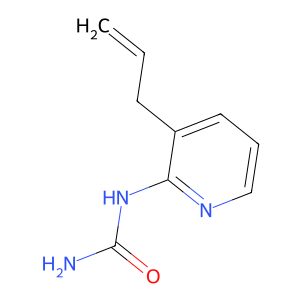 C=CCc1cccnc1NC(N)=O